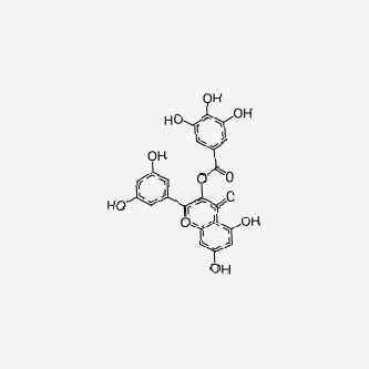 O=C(Oc1c(-c2cc(O)cc(O)c2)oc2cc(O)cc(O)c2c1=O)c1cc(O)c(O)c(O)c1